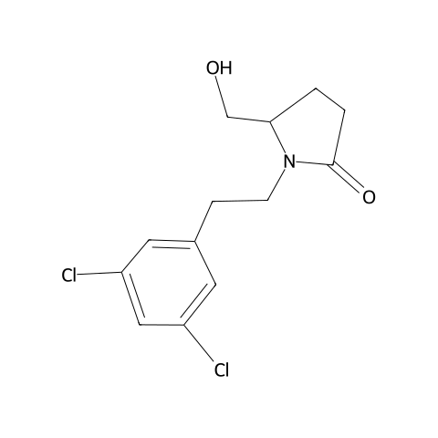 O=C1CCC(CO)N1CCc1cc(Cl)cc(Cl)c1